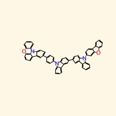 c1ccc2c(c1)Oc1cccc3c4cc(-c5ccc(-n6c7ccccc7c7cc(-c8ccc9c(c8)c8ccccc8n9-c8ccc9c(c8)oc8ccccc89)ccc76)cc5)ccc4n-2c13